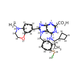 C[C@@H](Nc1nc(C(=O)O)nc2nc(-c3ccc4c(c3)OCCN4C)n(Cc3ccc(SF)cc3)c12)C1CCC1